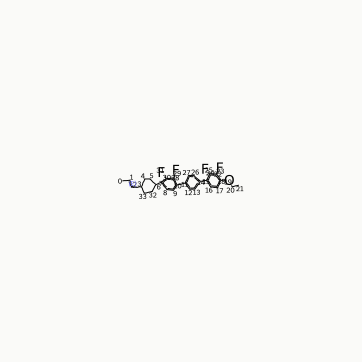 C/C=C/C1CCC(c2ccc(-c3ccc(-c4ccc(OCC)c(F)c4F)cc3)c(F)c2F)CC1